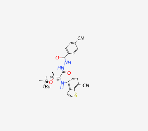 C[C@H](O[Si](C)(C)C(C)(C)C)[C@@H](Nc1ccc(C#N)c2sccc12)C(=O)NNC(=O)c1ccc(C#N)cc1